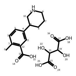 Cc1ccc(C2CCCNC2)cc1C(=O)O.O=C(O)C(O)C(O)C(=O)O